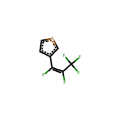 F/C(=C(\F)C(F)(F)F)c1[c]scc1